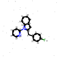 Fc1ccc(Cc2cc3ccccc3n2-c2ccccn2)cc1